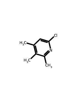 Cc1cc(Cl)nc(C)c1C